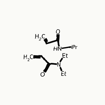 C=CC(=O)N(CC)CC.C=CC(=O)NC(C)C